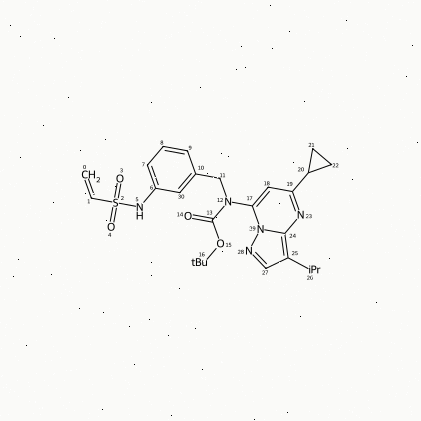 C=CS(=O)(=O)Nc1cccc(CN(C(=O)OC(C)(C)C)c2cc(C3CC3)nc3c(C(C)C)cnn23)c1